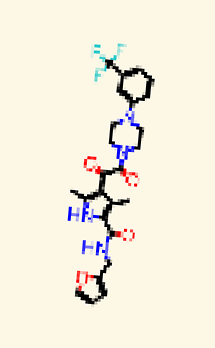 Cc1[nH]c(C(=O)NCc2ccco2)c(C)c1C(=O)C(=O)N1CCN(c2cccc(C(F)(F)F)c2)CC1